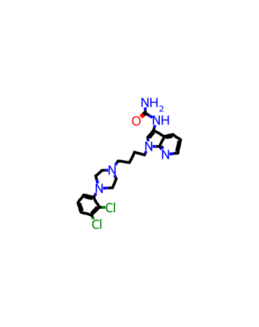 NC(=O)Nc1cn(CCCCN2CCN(c3cccc(Cl)c3Cl)CC2)c2ncccc12